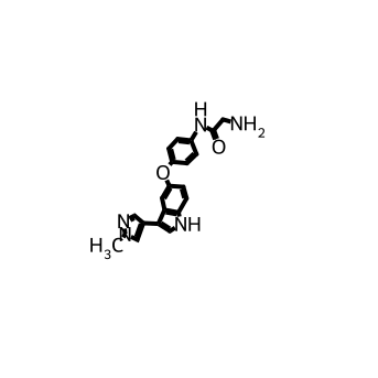 Cn1cc(-c2c[nH]c3ccc(Oc4ccc(NC(=O)CN)cc4)cc23)cn1